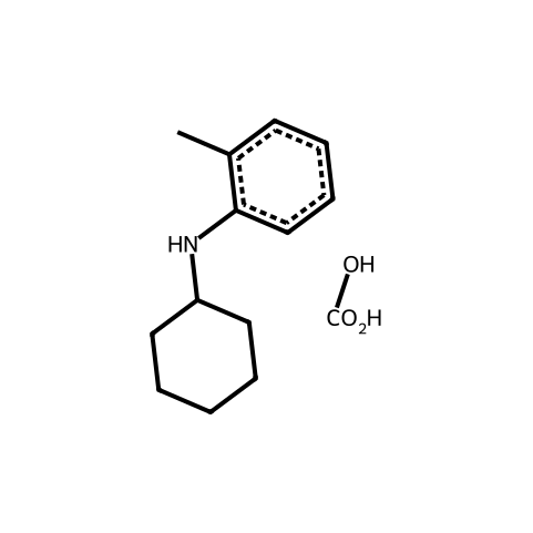 Cc1ccccc1NC1CCCCC1.O=C(O)O